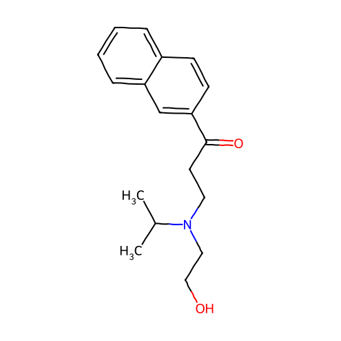 CC(C)N(CCO)CCC(=O)c1ccc2ccccc2c1